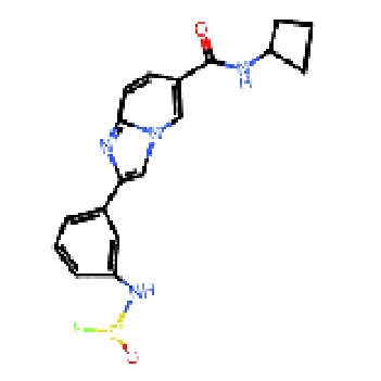 O=C(NC1CCC1)c1ccc2nc(-c3cccc(N[S+]([O-])F)c3)cn2c1